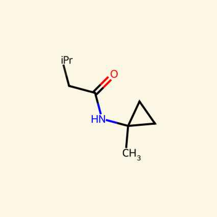 CC(C)CC(=O)NC1(C)CC1